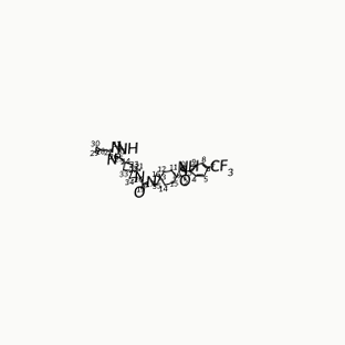 N=S(=O)(c1ccc(C(F)(F)F)cc1)C1CCC2(CC1)CN(C(=O)N1CC3(CC(c4nc(C5CC5)n[nH]4)C3)C1)C2